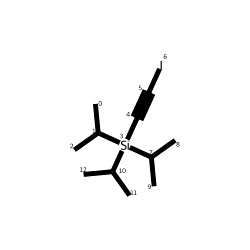 CC(C)[Si](C#CI)(C(C)C)C(C)C